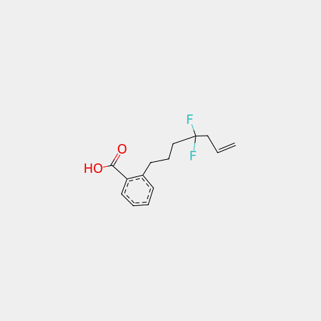 C=CCC(F)(F)CCCc1ccccc1C(=O)O